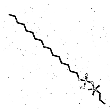 CCCCCCCCCCCCCCCCOP(=O)(O)O[As](C)(C)(C)CCC